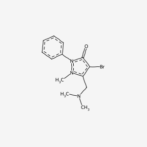 CN(C)Cc1c(Br)c(=O)n(-c2ccccc2)n1C